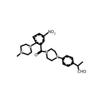 CC(C=O)c1ccc(N2CCN(C(=O)c3cc([N+](=O)[O-])ccc3N3CCN(C)CC3)CC2)cc1